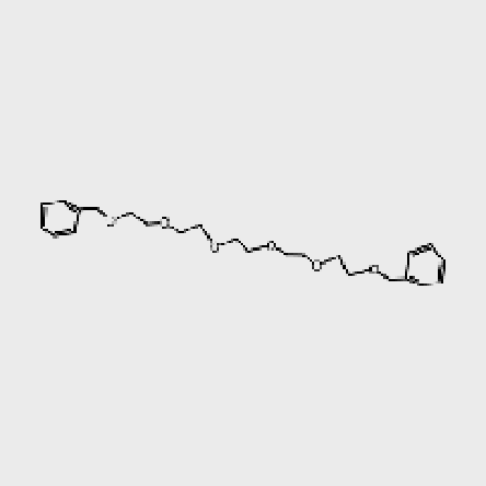 c1ccc(COCCOCCOCCOCCOCCOCc2ccccc2)cc1